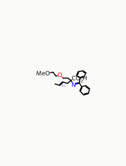 C/C=C/CC(CCOCCOC)(N=C(c1ccccc1)c1ccccc1)C(=O)O